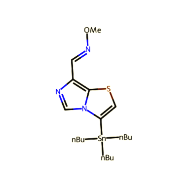 CCC[CH2][Sn]([CH2]CCC)([CH2]CCC)[c]1csc2c(C=NOC)ncn12